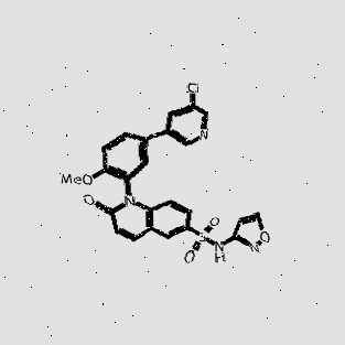 COc1ccc(-c2cncc(Cl)c2)cc1-n1c(=O)ccc2cc(S(=O)(=O)Nc3ccon3)ccc21